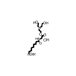 CCCCCCCCCCCCCCCCCC(=O)NCC(=O)OCCN(CCO)CCO.Cl